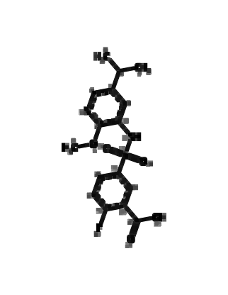 COc1ncc(C(C)C)cc1NS(=O)(=O)c1ccc(F)c(C(=O)O)c1